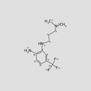 CN(C)CCCNc1cc(C(F)(F)F)ccc1N